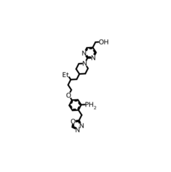 CCC(CCOc1ccc(Cc2nnco2)c(P)c1)CC1CCN(c2ncc(CO)cn2)CC1